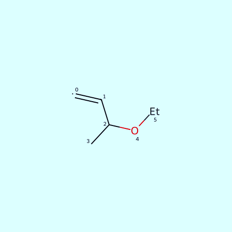 [CH]=CC(C)OCC